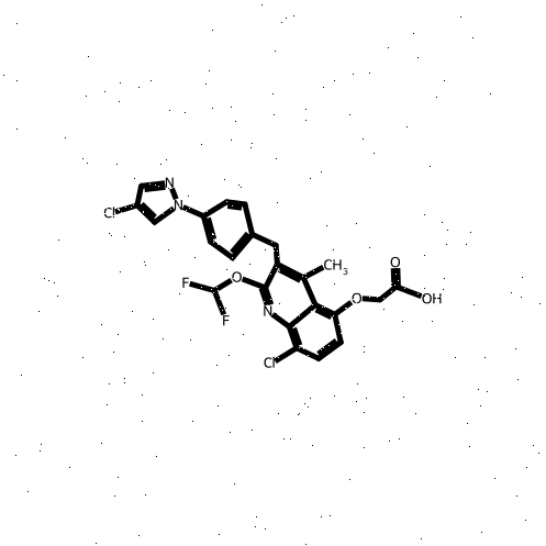 Cc1c(Cc2ccc(-n3cc(Cl)cn3)cc2)c(OC(F)F)nc2c(Cl)ccc(OCC(=O)O)c12